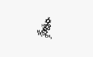 CC(C)CN1C(=O)[C@@H](NC(=O)c2ccccc2)CC1C